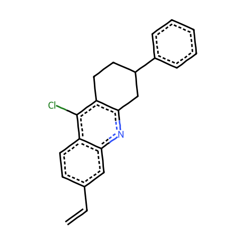 C=Cc1ccc2c(Cl)c3c(nc2c1)CC(c1ccccc1)CC3